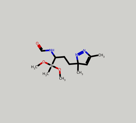 CO[Si](C)(OC)C(CCC1(C)C=C(C)N=N1)NC=O